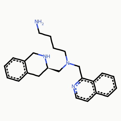 NCCCCN(Cc1nccc2ccccc12)C[C@H]1Cc2ccccc2CN1